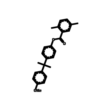 COc1ccc(C(C)(C)c2ccc(OC(=O)c3cc(C)ccc3C)cc2)cc1